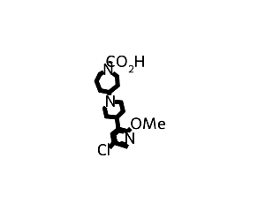 COc1ncc(Cl)cc1C1CCN(C2CCCN(C(=O)O)CC2)CC1